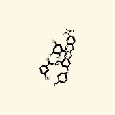 CS(=O)(=O)c1ccc(CN(Cc2cc(CNC(=O)c3cccc(C#N)c3)cc(Oc3ccc(F)cc3)c2)S(=O)(=O)c2cc(Cl)cc(Cl)c2O)cc1